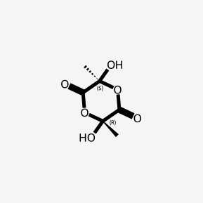 C[C@]1(O)OC(=O)[C@](C)(O)OC1=O